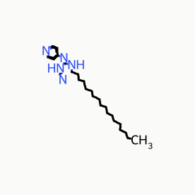 CCCCCCCCCCCCCCCCCCNC(=Nc1ccncc1)NC#N